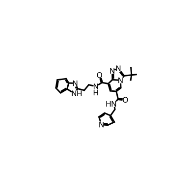 CC(C)(C)c1nnc2c(C(=O)NCCc3nc4ccccc4[nH]3)cc(C(=O)NCc3ccncc3)cn12